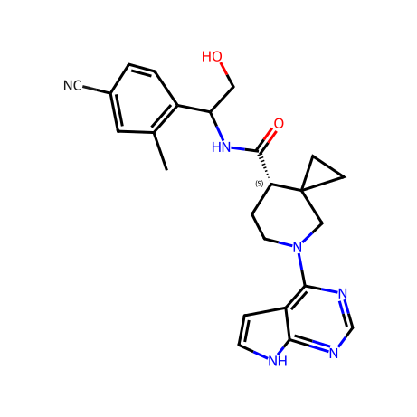 Cc1cc(C#N)ccc1C(CO)NC(=O)[C@H]1CCN(c2ncnc3[nH]ccc23)CC12CC2